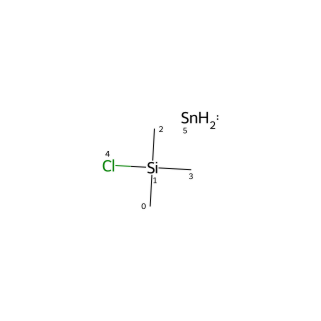 C[Si](C)(C)Cl.[SnH2]